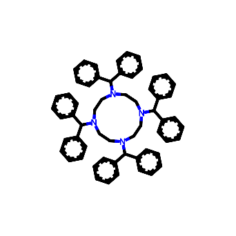 c1ccc(C(c2ccccc2)N2CCN(C(c3ccccc3)c3ccccc3)CCN(C(c3ccccc3)c3ccccc3)CCN(C(c3ccccc3)c3ccccc3)CC2)cc1